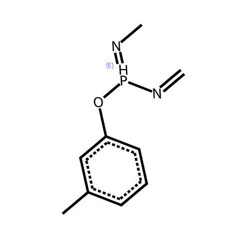 C=N/[PH](=N\C)Oc1cccc(C)c1